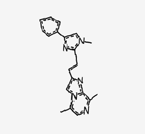 Cc1ncc(C)n2cc(/C=C/c3nc(-c4ccccc4)cn3C)nc12